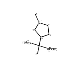 CCCCCCC(C)(CCCCC)C1CCN(C)C1